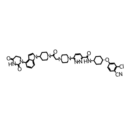 N#Cc1ccc(O[C@H]2CC[C@H](NC(=O)c3ccc(N4CCN(CC(=O)N5CCC(n6ccc7c(N8CCC(=O)NC8=O)cccc76)CC5)CC4)nn3)CC2)cc1Cl